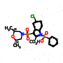 C[C@H]1CN(S(=O)(=O)c2c(C(=O)O)n(S(=O)(=O)c3ccccc3)c3ccc(Cl)cc23)C[C@H](C)O1